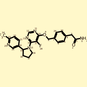 NC(=O)Cc1ccc(COc2ncnc(N3CCCC3c3ccc(C(F)(F)F)nc3)c2F)cc1